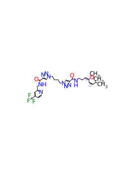 COC(/C=C\C(C)C)=C/CCNC(=O)c1cn(CCCCn2cc(C(=O)NCc3cc(C(F)(F)F)ccn3)nn2)nn1